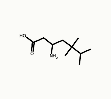 CC(C)C(C)(C)CC(N)CC(=O)O